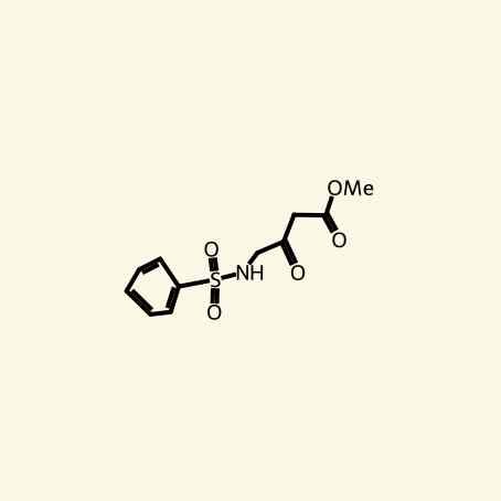 COC(=O)CC(=O)CNS(=O)(=O)c1ccccc1